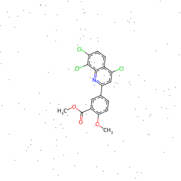 COC(=O)c1cc(-c2cc(Cl)c3ccc(Cl)c(Cl)c3n2)ccc1OC